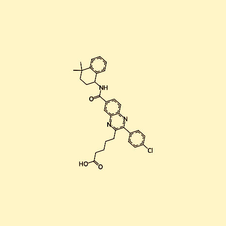 CC1(C)CCC(NC(=O)c2ccc3nc(-c4ccc(Cl)cc4)c(CCCCC(=O)O)nc3c2)c2ccccc21